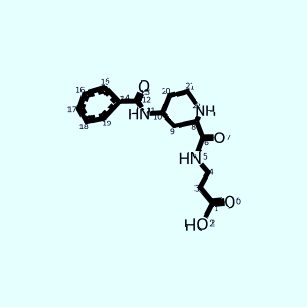 O=C(O)CCNC(=O)C1CC(NC(=O)c2ccccc2)CCN1